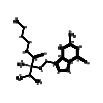 CC(C)[C@](N)(OCn1cnc2c(=O)nc(N)[nH]c21)C(=O)OCCCO